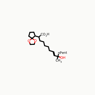 CCCCCC(C)(O)C=CCCCCCC(C(=O)O)C1CCCC12OCCO2